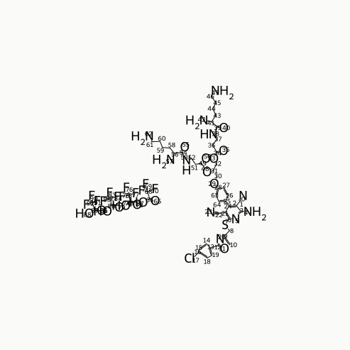 N#Cc1c(N)nc(SCc2coc(-c3ccc(Cl)cc3)n2)c(C#N)c1-c1ccc(OC[C@@H](COC(=O)CCNC(=O)[C@@H](N)CCCCN)OC(=O)CCNC(=O)[C@@H](N)CCCCN)cc1.O=C(O)C(F)(F)F.O=C(O)C(F)(F)F.O=C(O)C(F)(F)F.O=C(O)C(F)(F)F